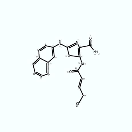 NC(=O)c1nc(Nc2ccc3ccccc3c2)sc1NC(=O)/C=C/CCl